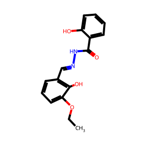 CCOc1cccc(/C=N/NC(=O)c2ccccc2O)c1O